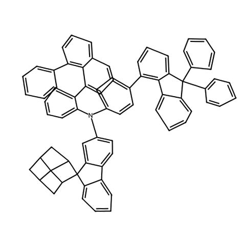 c1ccc(-c2cccc3cccc(-c4ccccc4N(c4ccc(-c5cccc6c5-c5ccccc5C6(c5ccccc5)c5ccccc5)cc4)c4ccc5c(c4)C4(c6ccccc6-5)C5CC6CC7CC4C675)c23)cc1